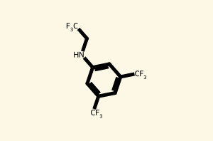 FC(F)(F)CNc1cc(C(F)(F)F)cc(C(F)(F)F)c1